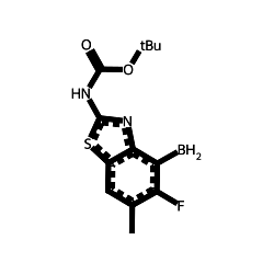 Bc1c(F)c(C)cc2sc(NC(=O)OC(C)(C)C)nc12